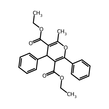 CCOC(=O)C1=C(C)OC(c2ccccc2)=C(C(=O)OCC)C1c1ccccc1